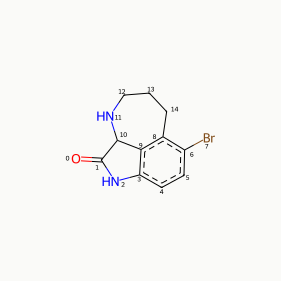 O=C1Nc2ccc(Br)c3c2C1NCCC3